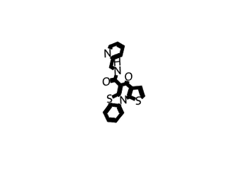 O=C(NCc1ccccn1)c1c(=O)c2ccsc2n2c1sc1ccccc12